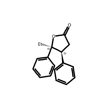 CC[C@]1(c2ccccc2)OC(=O)C[C@H]1c1ccccc1